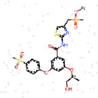 CCOP(C)(=O)Cc1csc(NC(=O)c2cc(Oc3ccc(S(C)(=O)=O)cc3)cc(O[C@@H](C)CO)c2)n1